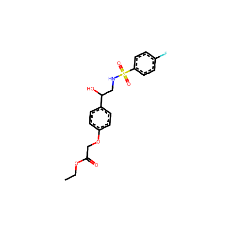 CCOC(=O)COc1ccc(C(O)CNS(=O)(=O)c2ccc(F)cc2)cc1